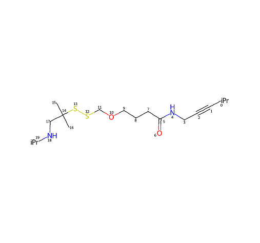 CC(C)C#CCNC(=O)CCCOCSSC(C)(C)CNC(C)C